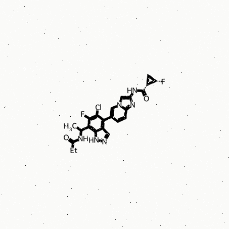 CCC(=O)NC(C)c1c(F)c(Cl)c(-c2ccc3nc(NC(=O)[C@@H]4C[C@@H]4F)cn3c2)c2cn[nH]c12